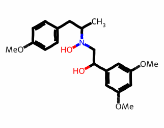 COc1ccc(CC(C)N(O)CC(O)c2cc(OC)cc(OC)c2)cc1